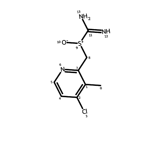 Cc1c(Cl)ccnc1C[S+]([O-])C(=N)N